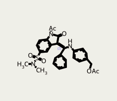 CC(=O)OCc1ccc(N/C(=C2\C(=O)N(C(C)=O)c3ccc(S(=O)(=O)N(C)C)cc32)c2ccccc2)cc1